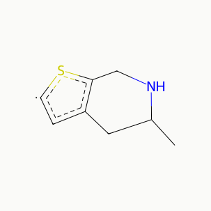 CC1Cc2c[c]sc2CN1